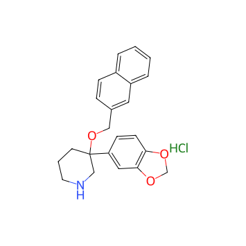 Cl.c1ccc2cc(COC3(c4ccc5c(c4)OCO5)CCCNC3)ccc2c1